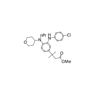 CCCN(c1ccc(C(C)(C)CC(=O)OC)cc1Nc1ccc(Cl)cc1)C1CCOCC1